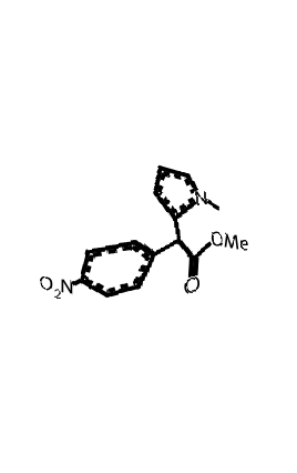 COC(=O)C(c1ccc([N+](=O)[O-])cc1)c1cccn1C